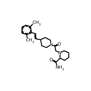 Cc1cccc(C)c1C=CC1CCN(C(=O)CN2CCCCC2C(N)=O)CC1